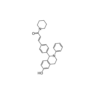 O=C(C=Cc1ccc(C2c3ccc(O)cc3CCN2c2ccccc2)cc1)N1CCCCC1